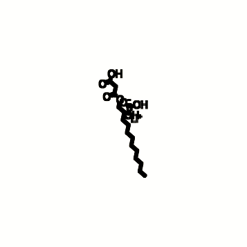 CCCCCCCCCCCCOC(=O)CC(=O)O.[Li+].[O-]B(O)O